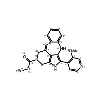 COc1cnccc1-c1[nH]c2c(c1Nc1ccccc1)C(=O)CN(C(=O)OC(C)(C)C)C2